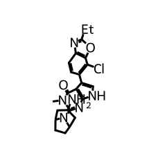 CCc1nc2ccc(-c3c[nH]c4nc(N5C6CCC5CC(N)C6)n(C)c(=O)c34)c(Cl)c2o1